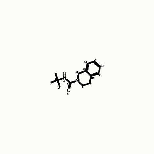 CC(C)(C)NC(=O)N1CCc2ccccc2C1